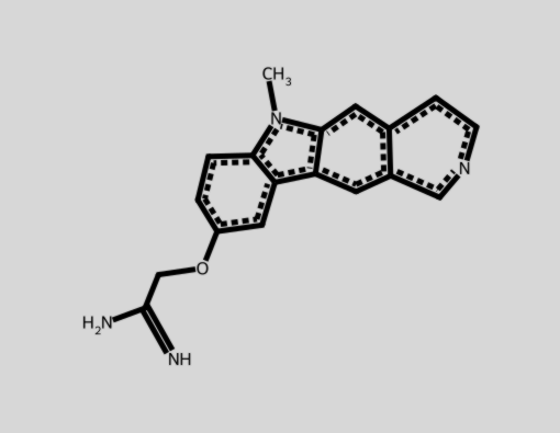 Cn1c2ccc(OCC(=N)N)cc2c2cc3cnccc3cc21